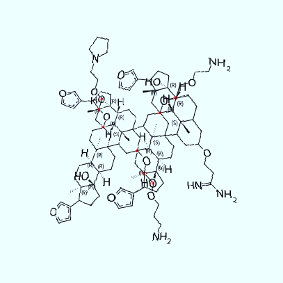 C[C@]12C(CC[C@@H]3[C@H]1CC[C@]1(C)C(c4ccoc4)CC[C@@]31O)CC(OCCC(=N)N)CC2C12CC[C@@H]3[C@@H](CC[C@]4(C)C(c5ccoc5)CC[C@@]34O)[C@@]1(C)C(C13CC[C@@H]4[C@@H](CC[C@]5(C)C(c6ccoc6)CC[C@@]45O)[C@@]1(C)C(C14CC[C@@H]5[C@@H](CC[C@]6(C)C(c7ccoc7)CC[C@@]56O)[C@@]1(C)CCC(OCCOCCN1CCCC1)C4)CC(OCCOCCCN)C3)CC(OCCOCCN)C2